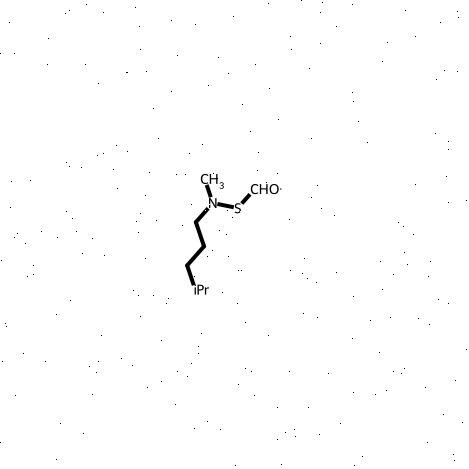 CC(C)CCCN(C)S[C]=O